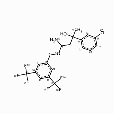 CC(O)(CC(N)OCc1cc(C(F)(F)F)cc(C(F)(F)F)c1)c1cccc(Cl)c1